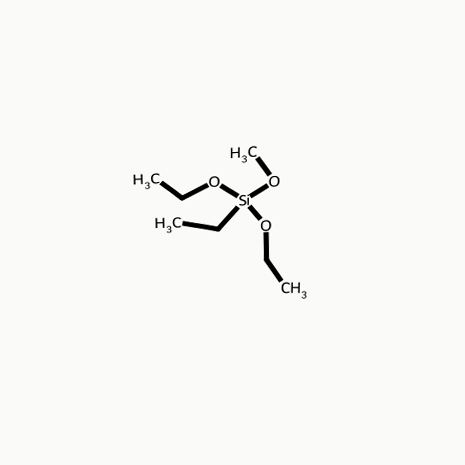 CCO[Si](CC)(OC)OCC